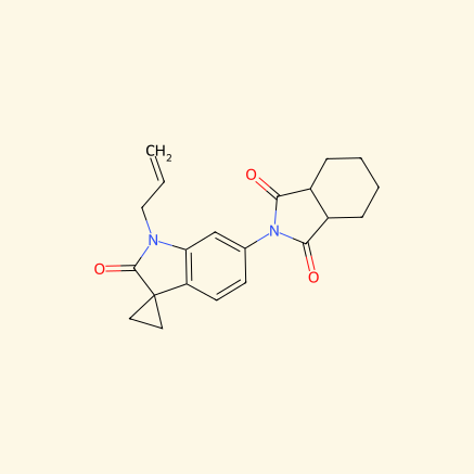 C=CCN1C(=O)C2(CC2)c2ccc(N3C(=O)C4CCCCC4C3=O)cc21